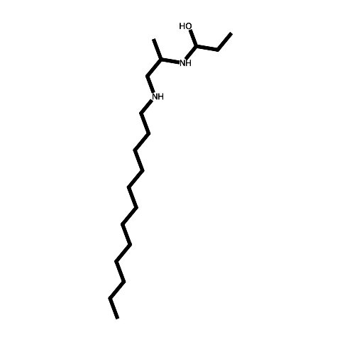 CCCCCCCCCCCCNCC(C)NC(O)CC